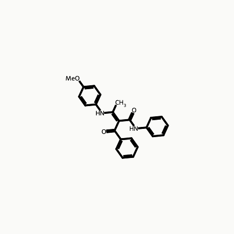 COc1ccc(NC(C)=C(C(=O)Nc2ccccc2)C(=O)c2ccccc2)cc1